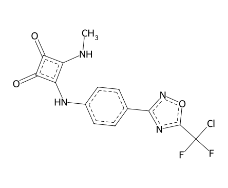 CNc1c(Nc2ccc(-c3noc(C(F)(F)Cl)n3)cc2)c(=O)c1=O